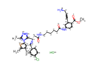 COC(=O)c1ccc(NC(=O)CCCCCNC(=O)C[C@@H]2N=C(c3ccc(Cl)cc3)c3c(sc(C)c3C)-n3c(C)nnc32)cc1C#CCN.Cl